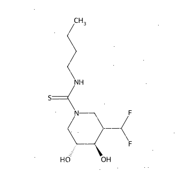 CCCCNC(=S)N1CC(C(F)F)[C@@H](O)[C@H](O)C1